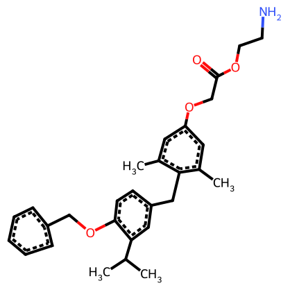 Cc1cc(OCC(=O)OCCN)cc(C)c1Cc1ccc(OCc2ccccc2)c(C(C)C)c1